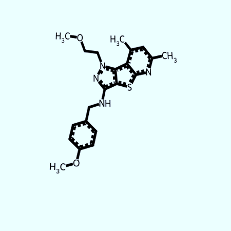 COCCn1nc(NCc2ccc(OC)cc2)c2sc3nc(C)cc(C)c3c21